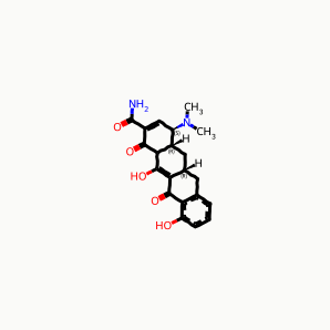 CN(C)[C@@H]1C=C(C(N)=O)C(=O)C2C(O)=C3C(=O)c4c(O)cccc4C[C@H]3C[C@H]21